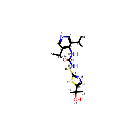 CC(C)c1cncc(C(C)C)c1NC(=O)NSc1ncc(C(C)(C)O)s1